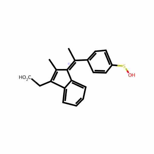 CC1=C(CC(=O)O)c2ccccc2/C1=C(/C)c1ccc(SO)cc1